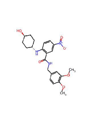 COc1ccc(CNC(=O)c2cc([N+](=O)[O-])ccc2N[C@H]2CC[C@H](O)CC2)cc1OC